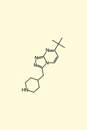 CC(C)(C)c1ccn2c(CC3CCNCC3)nnc2n1